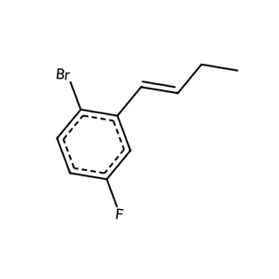 CCC=Cc1cc(F)ccc1Br